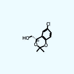 CC1(C)Oc2ccc(Cl)cc2[C@@H](CO)O1